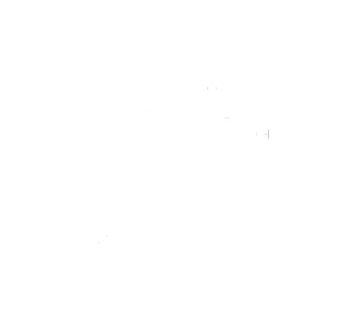 OB(O)c1ccc(Br)c(Cl)c1F